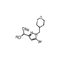 COC(O)c1cc(Br)n(CC2CCOCC2)n1